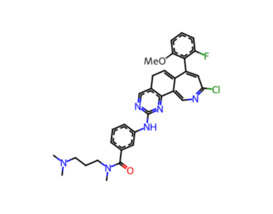 COc1cccc(F)c1C1=CC(Cl)=NC=C2C1=CCc1cnc(Nc3cccc(C(=O)N(C)CCCN(C)C)c3)nc12